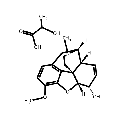 CC(O)C(=O)O.COc1ccc2c3c1O[C@H]1[C@@H](O)C=C[C@H]4[C@@H](C2)N(C)CC[C@@]341